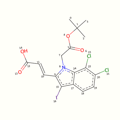 CC(C)(C)OC(=O)Cn1c(/C=C/C(=O)O)c(I)c2ccc(Cl)c(Cl)c21